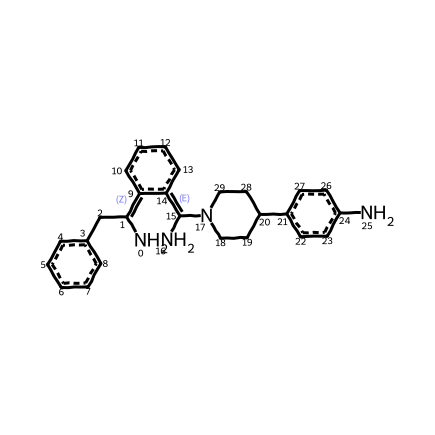 N/C(Cc1ccccc1)=c1/cccc/c1=C(/N)N1CCC(c2ccc(N)cc2)CC1